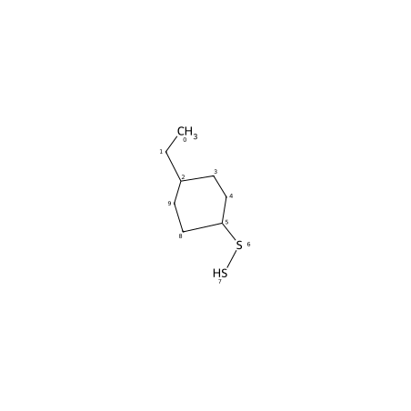 CCC1CCC(SS)CC1